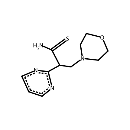 NC(=S)C(CN1CCOCC1)c1ncccn1